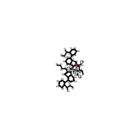 CCCCC1=Cc2c(-c3ccccc3C(C)CC)cccc2[CH]1[Zr]([Cl])([Cl])([B](NC=O)NC=O)[CH]1C(CCCC)=Cc2c(-c3ccccc3C(C)CC)cccc21